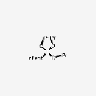 CCCC[CH2][Ti]([O]C(C)C)([O]C(C)C)[O]C(C)C